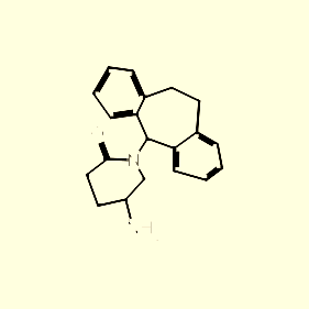 NC1CCC(=O)N(C2c3ccccc3CCc3ccccc32)C1